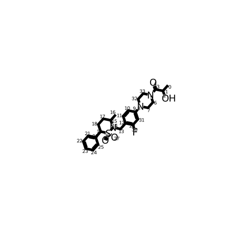 CC(O)C(=O)N1CCN(c2ccc(CN3C(C)CCC(c4ccccc4)S3(=O)=O)c(F)c2)CC1